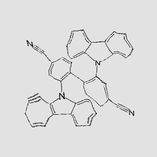 N#CC1=CC(n2c3ccccc3c3ccccc32)=C(c2ccc(C#N)cc2-n2c3c(c4ccccc42)C=CCC#C3)CC1